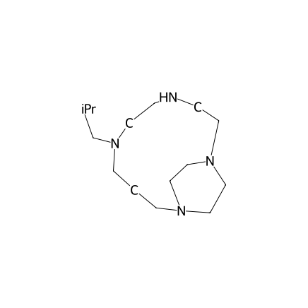 CC(C)CN1CCCN2CCN(CCNCC1)CC2